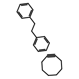 C1#CCCCCCC1.c1ccc(CCc2ccccc2)cc1